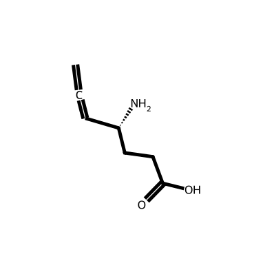 C=C=C[C@H](N)CCC(=O)O